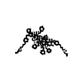 C=CCOCCCCc1ccc(Cc2cc([C@]3(OC)OC(CO)(C(O)C(O)[C@]45CO[C@@](c6ccc(C)c(Cc7ccc(CCCCOCC=C)cc7)c6)(O4)[C@H](OCc4ccccc4)[C@@H](OCc4ccccc4)[C@@H]5OCc4ccccc4)[C@@H](OCc4ccccc4)[C@H](OCc4ccccc4)[C@H]3OCc3ccccc3)ccc2C)cc1